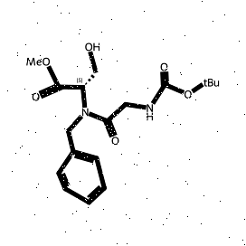 COC(=O)[C@H](CO)N(Cc1ccccc1)C(=O)CNC(=O)OC(C)(C)C